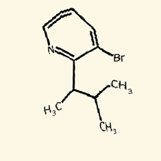 CC(C)C(C)c1ncccc1Br